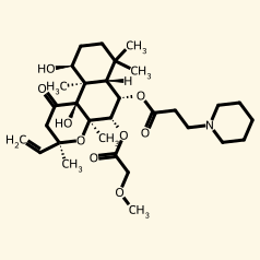 C=C[C@@]1(C)CC(=O)[C@]2(O)[C@@]3(C)[C@@H](O)CCC(C)(C)[C@@H]3[C@H](OC(=O)CCN3CCCCC3)[C@H](OC(=O)COC)[C@@]2(C)O1